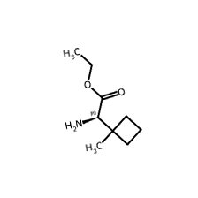 CCOC(=O)[C@H](N)C1(C)CCC1